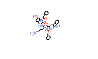 NCCCC[C@H](NC(=O)[C@H](Cc1c[nH]c2ccccc12)NC(=O)OCc1ccccc1)C(=O)N[C@@H](Cc1ccc(O)cc1)C(=O)NC(=O)Cc1ccccc1